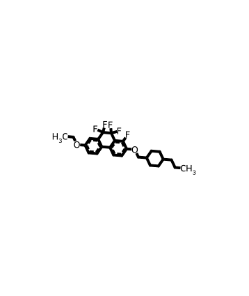 CCCC1CCC(COc2ccc3c(c2F)C(F)(F)C(F)(F)c2cc(OCC)ccc2-3)CC1